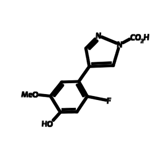 COc1cc(-c2cnn(C(=O)O)c2)c(F)cc1O